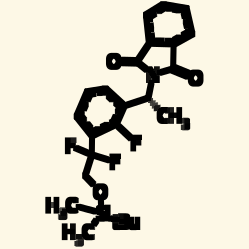 C[C@H](c1cccc(C(F)(F)CO[Si](C)(C)C(C)(C)C)c1F)N1C(=O)c2ccccc2C1=O